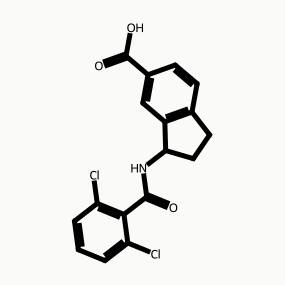 O=C(O)c1ccc2c(c1)C(NC(=O)c1c(Cl)cccc1Cl)CC2